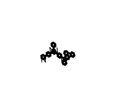 c1ccc(-c2nc(-c3ccc(-c4cccnc4)cc3)cc(-c3ccc(-n4c5ccccc5c5cc6c7c(cccc7c54)-c4ccccc4-6)cc3)n2)cc1